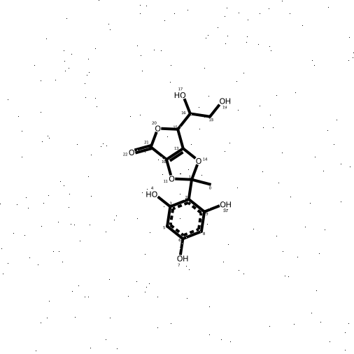 CC1(c2c(O)cc(O)cc2O)OC2=C(O1)C(C(O)CO)OC2=O